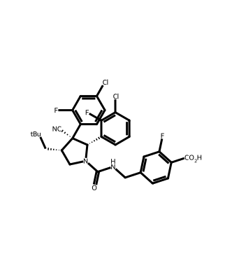 CC(C)(C)C[C@H]1CN(C(=O)NCc2ccc(C(=O)O)c(F)c2)[C@@H](c2cccc(Cl)c2F)[C@]1(C#N)c1ccc(Cl)cc1F